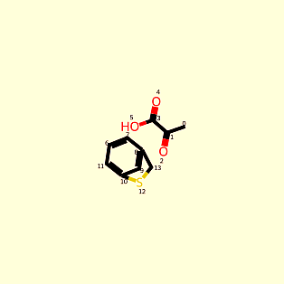 CC(=O)C(=O)O.c1cc2cc(c1)SC2